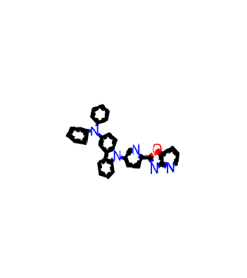 c1ccc(N(c2ccccc2)c2ccc3c(c2)c2ccccc2n3-c2ccc(-c3nc4ncccc4o3)nc2)cc1